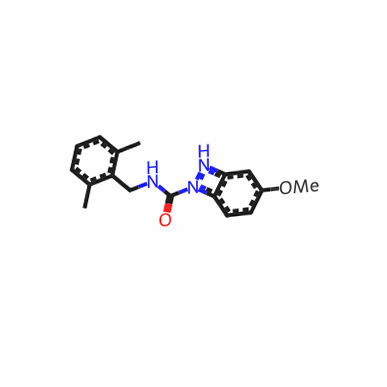 COc1ccc2c(c1)[nH]n2C(=O)NCc1c(C)cccc1C